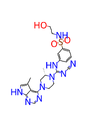 Cc1c[nH]c2ncnc(N3CCN(/C(=N/C#N)Nc4cccc(S(=O)(=O)NCCO)c4)[C@@H](C)C3)c12